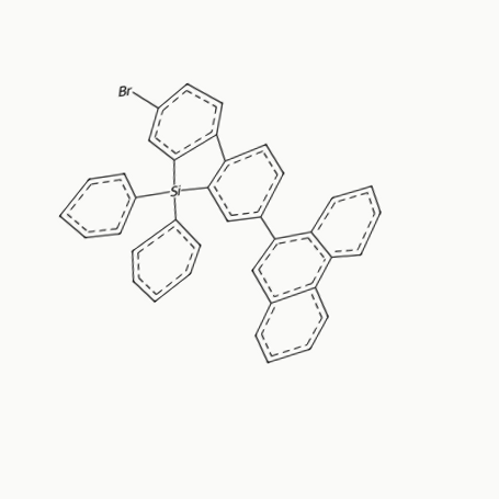 Brc1ccc2c(c1)[Si](c1ccccc1)(c1ccccc1)c1cc(-c3cc4ccccc4c4ccccc34)ccc1-2